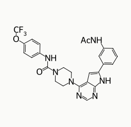 CC(=O)Nc1cccc(-c2cc3c(N4CCN(C(=O)Nc5ccc(OC(F)(F)F)cc5)CC4)ncnc3[nH]2)c1